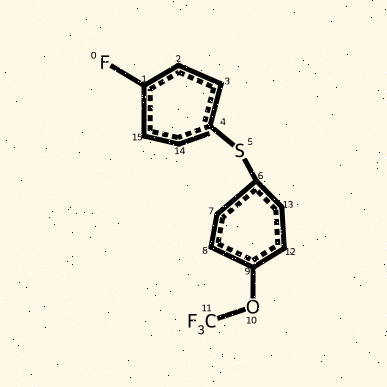 Fc1ccc(Sc2ccc(OC(F)(F)F)cc2)cc1